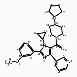 O=C(c1c(-c2cccnc2)nc(-c2cccc(OC(F)(F)F)c2)n1C1CC1)N1CCC(N2CCCC2)CC1